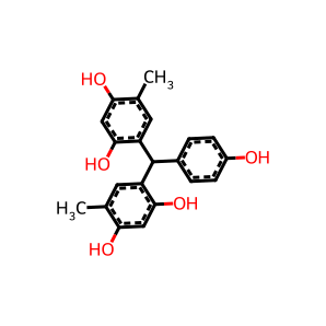 Cc1cc(C(c2ccc(O)cc2)c2cc(C)c(O)cc2O)c(O)cc1O